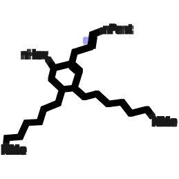 CCCCC/C=C/CC1=CC(CCCCCCNC)C(CCCCCCNC)CC1CCCCCC